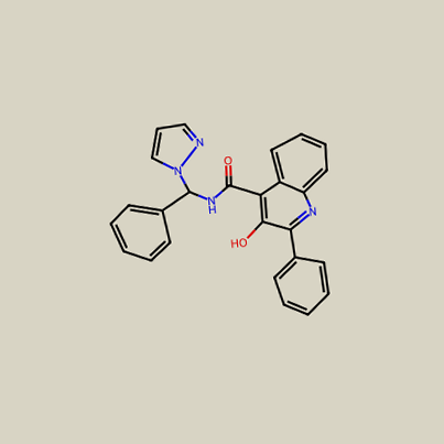 O=C(NC(c1ccccc1)n1cccn1)c1c(O)c(-c2ccccc2)nc2ccccc12